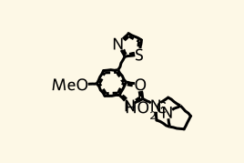 COc1cc(-c2nccs2)c2oc(N3CC4CCC(C3)N4C(=O)O)nc2c1